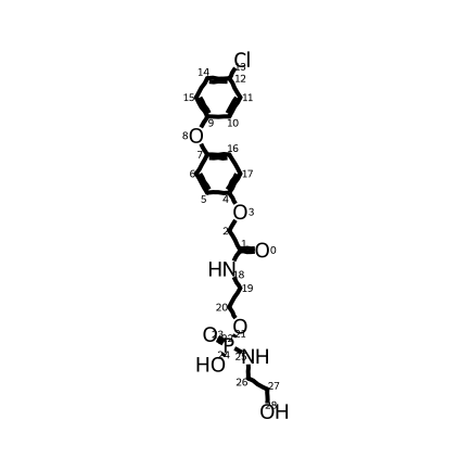 O=C(COc1ccc(Oc2ccc(Cl)cc2)cc1)NCCOP(=O)(O)NCCO